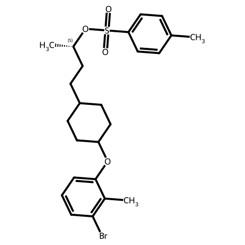 Cc1ccc(S(=O)(=O)O[C@@H](C)CCC2CCC(Oc3cccc(Br)c3C)CC2)cc1